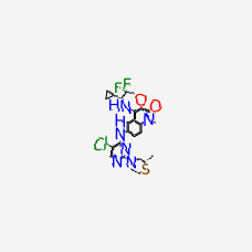 C[C@@H]1CN(c2ncc(Cl)c(Nc3ccc4c(c3)c3c(c(=O)n4C)OCC(F)(F)[C@H](C4CC4)N3)n2)CCS1